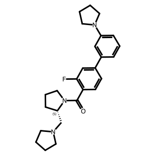 O=C(c1ccc(-c2cccc(N3CCCC3)c2)cc1F)N1CCC[C@H]1CN1CCCC1